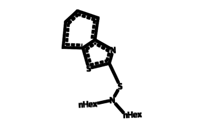 CCCCCCN(CCCCCC)Sc1nc2ccccc2s1